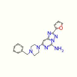 Nc1nc(N2CCN(Cc3ccccc3)CC2)cc2nc(-c3ccco3)nn12